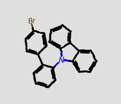 Brc1ccc(-c2ccccc2-n2c3ccccc3c3ccccc32)cc1